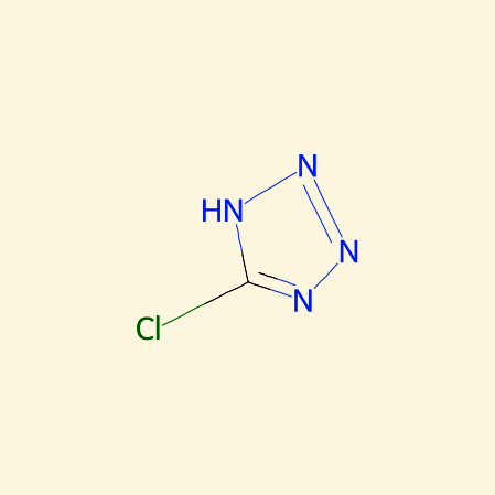 Clc1nnn[nH]1